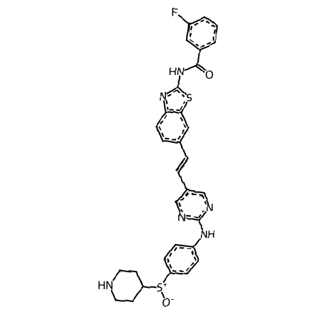 O=C(Nc1nc2ccc(/C=C/c3cnc(Nc4ccc([S+]([O-])C5CCNCC5)cc4)nc3)cc2s1)c1cccc(F)c1